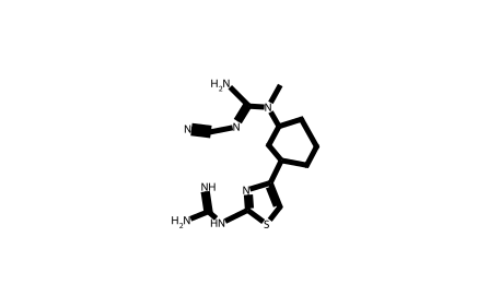 CN(C(N)=NC#N)C1CCCC(c2csc(NC(=N)N)n2)C1